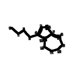 CCCCC1=CSC2=NCCCCN12